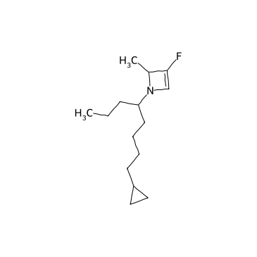 CCCC(CCCCC1CC1)N1C=C(F)C1C